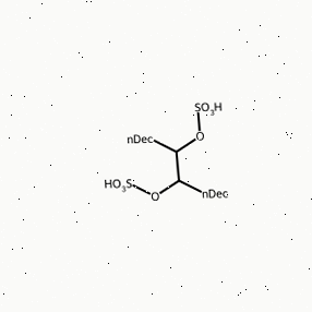 CCCCCCCCCCC(OS(=O)(=O)O)C(CCCCCCCCCC)OS(=O)(=O)O